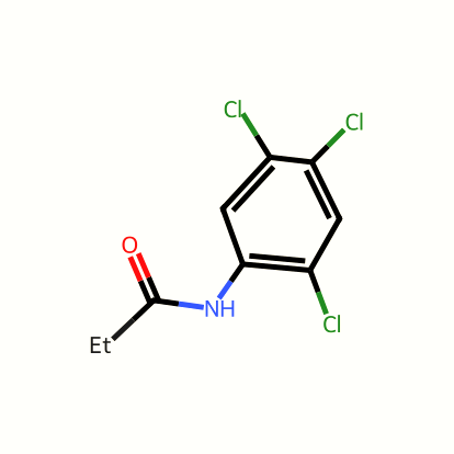 CCC(=O)Nc1cc(Cl)c(Cl)cc1Cl